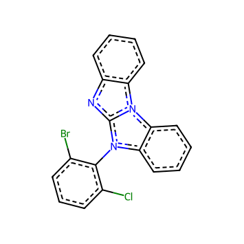 Clc1cccc(Br)c1-n1c2ccccc2n2c3ccccc3nc12